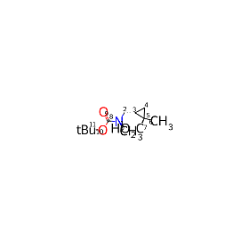 CN(C[C@@H]1C[C@@]1(C)C(=O)O)C(=O)OC(C)(C)C